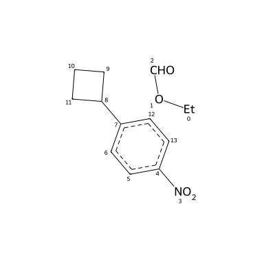 CCOC=O.O=[N+]([O-])c1ccc(C2CCC2)cc1